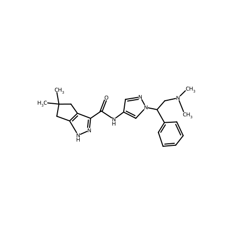 CN(C)CC(c1ccccc1)n1cc(NC(=O)c2n[nH]c3c2CC(C)(C)C3)cn1